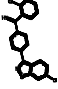 N=C(c1ccc(-c2noc3cc(Cl)ccc23)cc1)c1ccccc1Cl